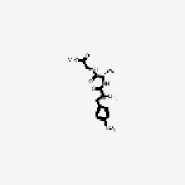 COC(=O)CNC(=O)[C@@H](NC(=O)[C@@H](N)Cc1ccc([N+](=O)[O-])cc1)C(C)(C)C